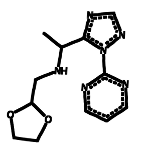 CC(NCC1OCCO1)c1ncnn1-c1ncccn1